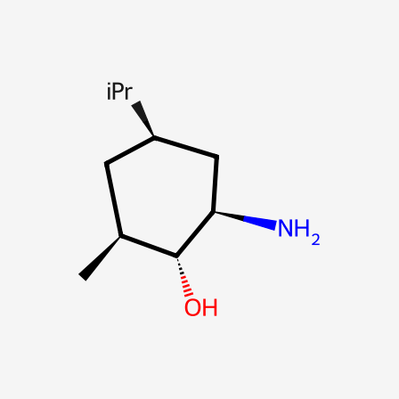 CC(C)[C@H]1C[C@@H](N)[C@H](O)[C@@H](C)C1